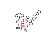 CC(C)NCC(O)COc1cccc2ccccc12.CCCCOC(=O)c1ccc(OC(=O)c2ccccc2C(=O)O)cc1.CN(C)CCC=C1c2ccccc2CCc2ccccc21.c1cc2c3c(cccc3c1)CC2.c1ccc2ccccc2c1